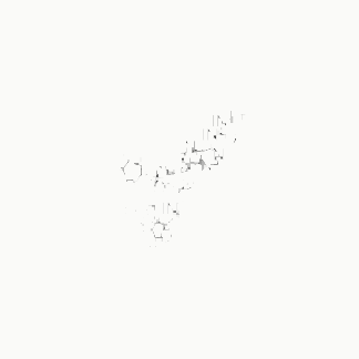 CCNC(=O)Nc1ncnc2c1ncn2C1OC(CNCc2occc2C(=O)O)C2O[C@H](c3ccccc3)OC21